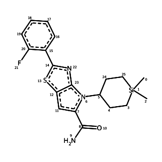 C[Si]1(C)CCC(n2c(C(N)=O)cc3sc(-c4ccccc4F)nc32)CC1